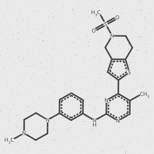 Cc1cnc(Nc2cccc(N3CCN(C)CC3)c2)nc1-c1cc2c(s1)CCN(S(C)(=O)=O)C2